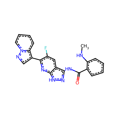 CNc1ccccc1C(=O)Nc1n[nH]c2nc(-c3cnn4ccccc34)c(F)cc12